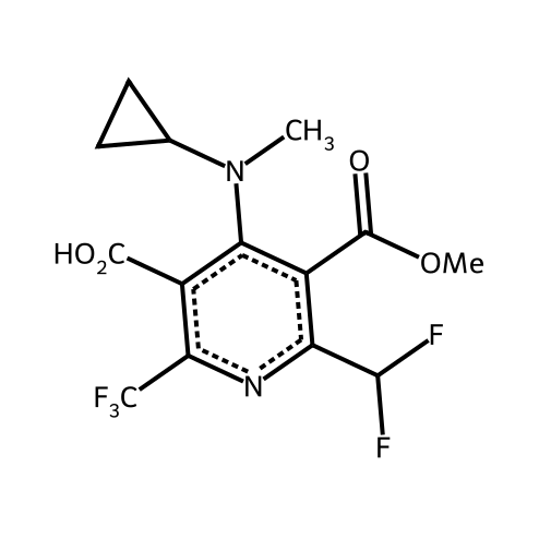 COC(=O)c1c(C(F)F)nc(C(F)(F)F)c(C(=O)O)c1N(C)C1CC1